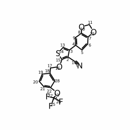 N#Cc1c(-c2ccc3c(c2)OCO3)csc1OCc1cccc(OC(F)(F)F)c1